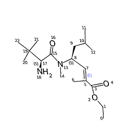 CCOC(=O)/C(C)=C/[C@H](CC(C)C)N(C)C(=O)[C@@H](N)C(C)(C)C